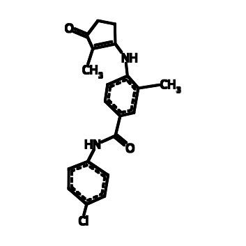 CC1=C(Nc2ccc(C(=O)Nc3ccc(Cl)cc3)cc2C)CCC1=O